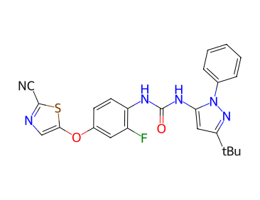 CC(C)(C)c1cc(NC(=O)Nc2ccc(Oc3cnc(C#N)s3)cc2F)n(-c2ccccc2)n1